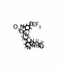 O=C(c1ccc(OC(F)(F)F)cc1[N+](=O)[O-])N1CC=C(c2ccnc3[nH]c(CC4COC4)nc23)CC1